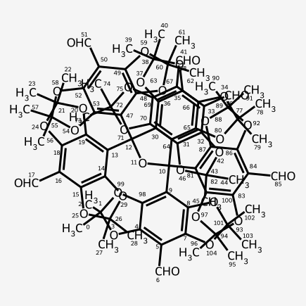 CC1(C)Oc2c(C=O)c3c(c(C(OC(c4c5c(c(C=O)c6c4OC(C)(C)O6)OC(C)(C)O5)(c4c5c(c(C=O)c6c4OC(C)(C)O6)OC(C)(C)O5)c4c5c(c(C=O)c6c4OC(C)(C)O6)OC(C)(C)O5)(c4c5c(c(C=O)c6c4OC(C)(C)O6)OC(C)(C)O5)c4c5c(c(C=O)c6c4OC(C)(C)O6)OC(C)(C)O5)c2O1)OC(C)(C)O3